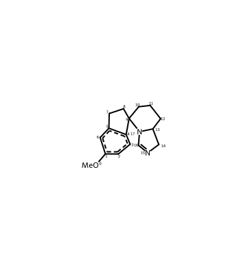 COc1ccc2c(c1)CCC21CCCC2CN=CN21